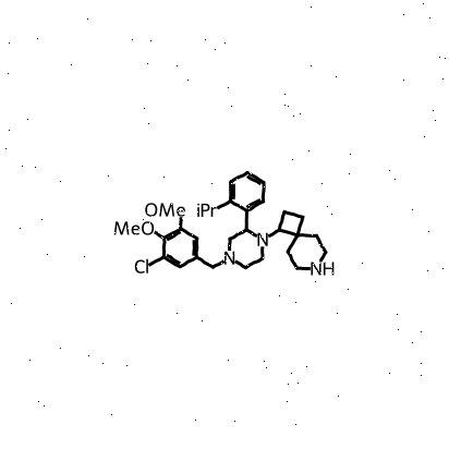 COc1cc(CN2CCN(C3CCC34CCNCC4)C(c3ccccc3C(C)C)C2)cc(Cl)c1OC